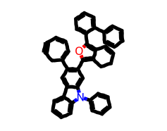 C1#CCC(c2cc3c4ccccc4n(-c4ccccc4)c3cc2-c2oc(-c3ccccc3-c3ccccc3)c3c2CCC=C3)=CC=C1